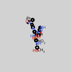 CC(C)c1ccccc1[C@@H]1COCCN1[C@H]1CCC2(CCN(c3ccc(C(=O)NS(=O)(=O)c4ccc(NC[C@H]5CC[C@](C)(O)CC5)c([N+](=O)[O-])c4)c(N4c5cc6cc[nH]c6nc5O[C@H]5COCC[C@@H]54)c3)CC2)C1